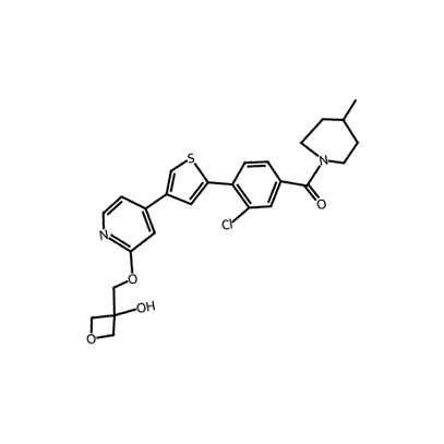 CC1CCN(C(=O)c2ccc(-c3cc(-c4ccnc(OCC5(O)COC5)c4)cs3)c(Cl)c2)CC1